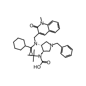 Cn1c(=O)c(CN(C(=O)C2CCCCC2)[C@@H]2CN(Cc3ccccc3)C[C@H]2N(C(=O)O)C(C)(C)C)cc2ccccc21